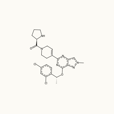 C[C@@H](Oc1nc(C2=CCN(C(=O)[C@H]3CCCN3)CC2)nc2cn(C)nc12)c1ccc(Cl)cc1Cl